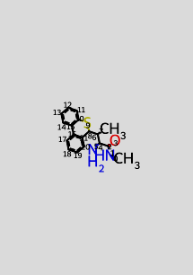 CNC(=O)C(N)C(C)C1Sc2ccccc2-c2ccccc21